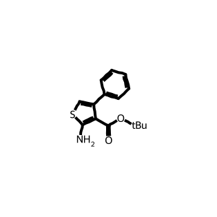 CC(C)(C)OC(=O)c1c(-c2ccccc2)csc1N